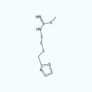 CSC(=N)NCCSCc1nccs1